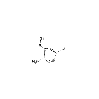 CNc1cc(Cl)ncc1C